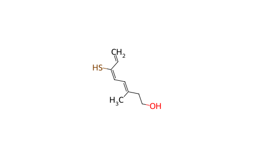 C=C/C(S)=C\C=C(/C)CCO